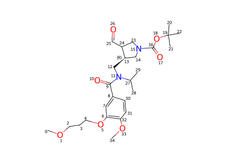 COCCCOc1cc(C(=O)N(C[C@@H]2CN(C(=O)OC(C)(C)C)CC2C=O)C(C)C)ccc1OC